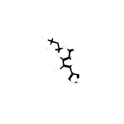 CC1(CC(F)(F)F)NC(=O)c2sc(-c3cn[nH]c3)c(Br)c2N1